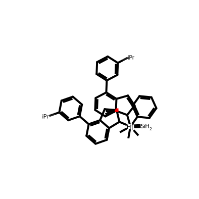 CC(C)c1cccc(-c2cccc3c2C=C[CH]3[Hf]([CH3])([CH3])([CH3])(=[SiH2])([c]2ccccc2)[CH]2C=Cc3c(-c4cccc(C(C)C)c4)cccc32)c1